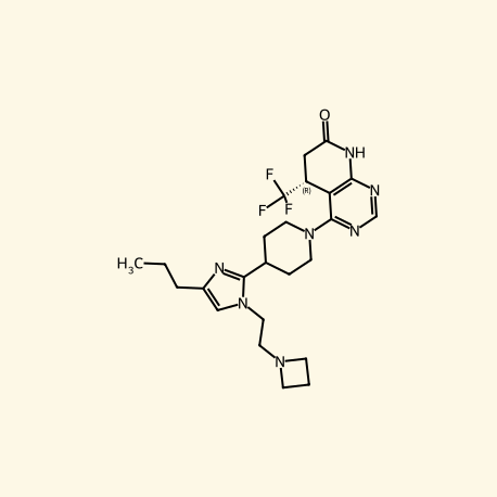 CCCc1cn(CCN2CCC2)c(C2CCN(c3ncnc4c3[C@H](C(F)(F)F)CC(=O)N4)CC2)n1